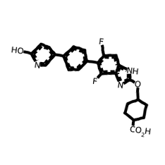 O=C(O)C1CCC(Oc2nc3c(F)c(-c4ccc(-c5ccc(O)nc5)cc4)c(F)cc3[nH]2)CC1